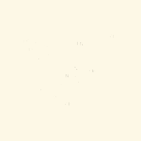 CCC[C@@H](CC(=O)O)n1c(=O)n(C(C)c2c[nH]c3cc(C)cc(C)c23)c2ccc(C(=O)OC(C)(C)C)cc21